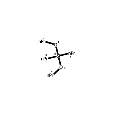 CCCO[Si](CCC)(CCC)OCCC